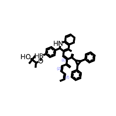 C=C(/C=C\C=C/C)/C(=C/C1=C(C)C2=C(C=CCC2)NC1c1ccc(BOC(C)C(C)(C)O)cc1)C(=C)C1C(c2ccccc2)C1c1ccccc1